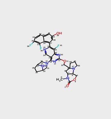 CN1C(=O)OCC2C1CC1(COc3nc(N4CC5CCC(C4)N5)c4cnc(-c5cc(O)cc6ccc(F)c(F)c56)c(F)c4n3)CCCN21